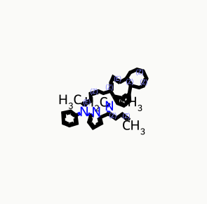 C=N/C(=C\C=C/C)c1cccc(N(/C(C)=C/C=C\C/C2=C/C=C/C3=C(/C/C=C\C=C/C3)c3cccc2c3C)c2ccccc2)n1